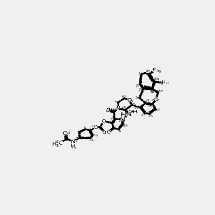 CC(=O)Nc1ccc(OC(=O)Oc2c3n(ccc2=O)N[C@@H]2C(c4cccc5c4Cc4ccc(F)c(F)c4CS5)OCCN2C3=O)cc1